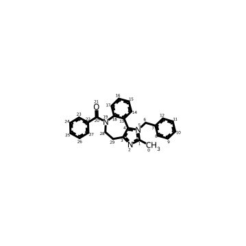 Cc1nc2c(n1Cc1ccccc1)-c1ccccc1N(C(=O)c1ccccc1)CC2